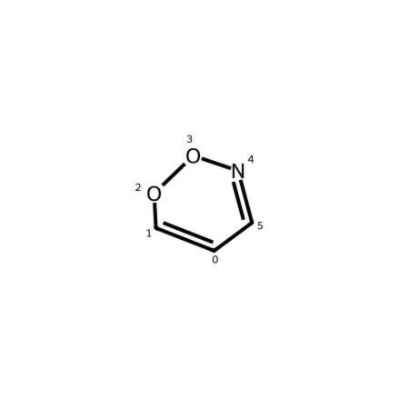 C1=COON=C1